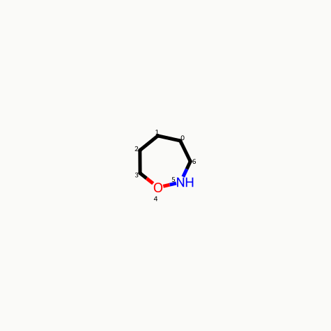 [CH]1CCCONC1